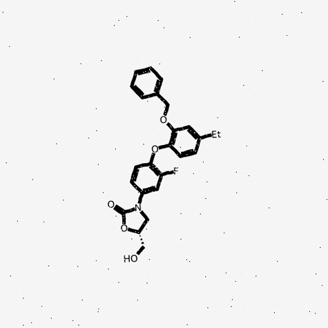 CCc1ccc(Oc2ccc(N3C[C@H](CO)OC3=O)cc2F)c(OCc2ccccc2)c1